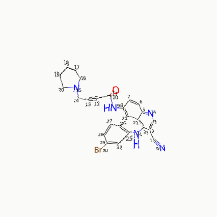 N#Cc1cnc2ccc(NC(=O)C#CCN3CCCCC3)cc2c1Nc1cccc(Br)c1